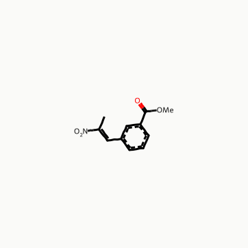 COC(=O)c1cccc(C=C(C)[N+](=O)[O-])c1